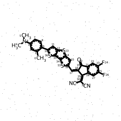 Cc1cc(N(C)C)ccc1-c1cc2sc3cc(/C=C4\C(=O)c5cc(F)c(F)cc5C4=C(C#N)C#N)sc3c2s1